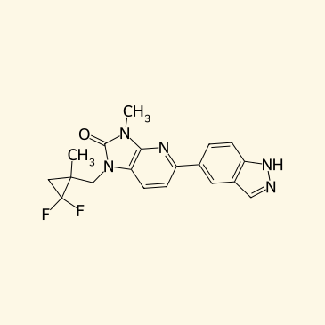 Cn1c(=O)n(CC2(C)CC2(F)F)c2ccc(-c3ccc4[nH]ncc4c3)nc21